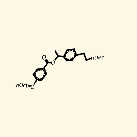 CCCCCCCCCCCCc1ccc(C(C)OC(=O)c2ccc(OCCCCCCCC)cc2)cc1